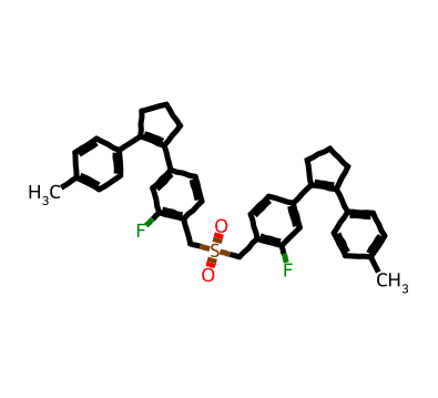 Cc1ccc(C2=C(c3ccc(CS(=O)(=O)Cc4ccc(C5=C(c6ccc(C)cc6)CCC5)cc4F)c(F)c3)CCC2)cc1